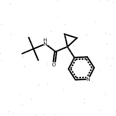 CC(C)(C)NC(=O)C1(c2ccncc2)CC1